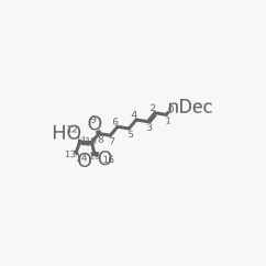 CCCCCCCCCCCC=CCCCCC(=O)C1=C(O)COC1=O